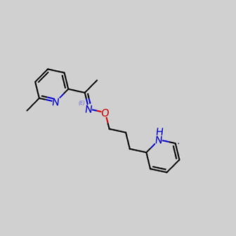 C/C(=N\OCCCC1C=CC=[C]N1)c1cccc(C)n1